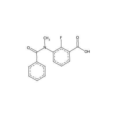 CN(C(=O)c1ccccc1)c1cccc(C(=O)O)c1F